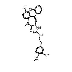 COc1ccc(CCNC(=S)NC2N=C(c3ccccc3Cl)c3cc(Cl)ccc3N(C)C2=O)cc1OC